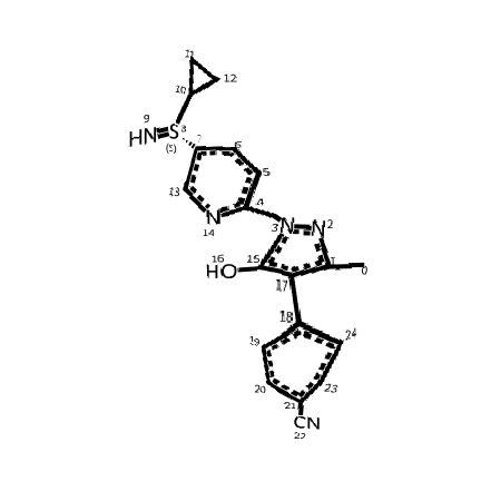 Cc1nn(-c2ccc([S@](=N)C3CC3)cn2)c(O)c1-c1ccc(C#N)cc1